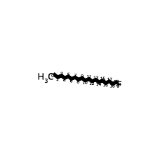 CCCCCCCCCCC[CH]CCCCCCCCF